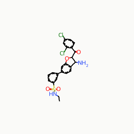 CCNS(=O)(=O)c1cccc(-c2ccc3c(c2)OC(C(=O)c2ccc(Cl)cc2Cl)C3N)c1